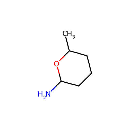 CC1CCCC(N)O1